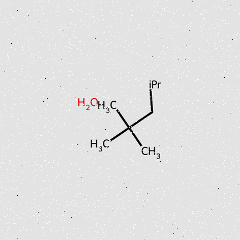 CC(C)CC(C)(C)C.O